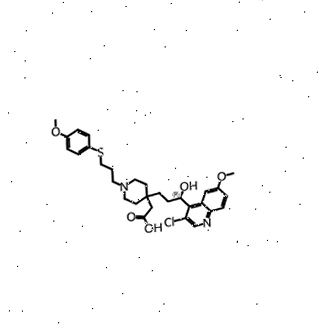 COc1ccc(SCCCN2CCC(CC[C@@H](O)c3c(Cl)cnc4ccc(OC)cc34)(CC(=O)O)CC2)cc1